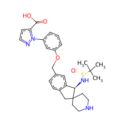 CC(C)(C)[S@@+]([O-])N[C@@H]1c2cc(COc3cccc(-n4nccc4C(=O)O)c3)ccc2CC12CCNCC2